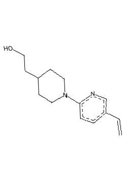 C=Cc1ccc(N2CCC(CCO)CC2)nc1